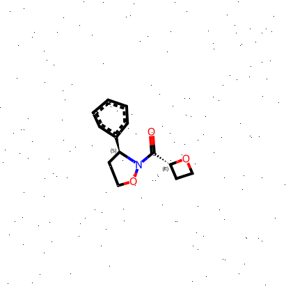 O=C([C@H]1CCO1)N1OCC[C@H]1c1ccccc1